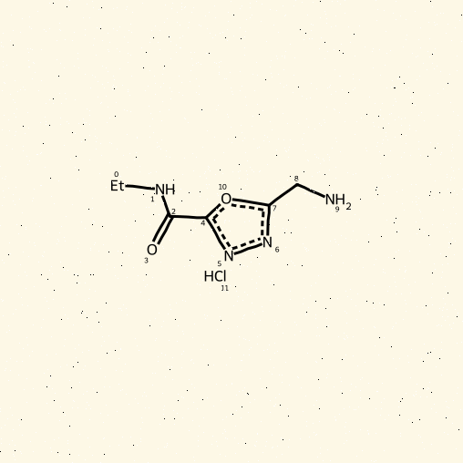 CCNC(=O)c1nnc(CN)o1.Cl